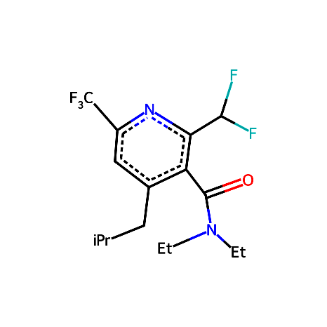 CCN(CC)C(=O)c1c(CC(C)C)cc(C(F)(F)F)nc1C(F)F